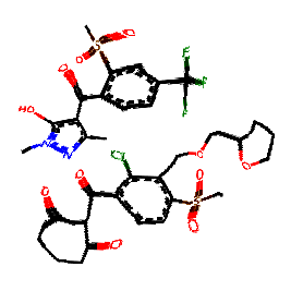 CS(=O)(=O)c1ccc(C(=O)C2C(=O)CCCC2=O)c(Cl)c1COCC1CCCO1.Cc1nn(C)c(O)c1C(=O)c1ccc(C(F)(F)F)cc1S(C)(=O)=O